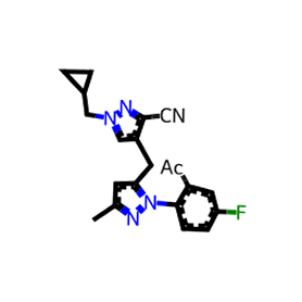 CC(=O)c1cc(F)ccc1-n1nc(C)cc1Cc1cn(CC2CC2)nc1C#N